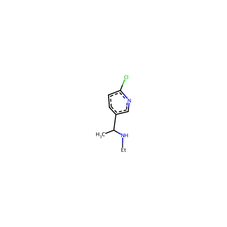 CCNC(C)c1ccc(Cl)nc1